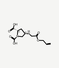 C=CCOC(=O)CN[C@@H]1C[C@@H](C(=O)O)N(C(=O)O)C1